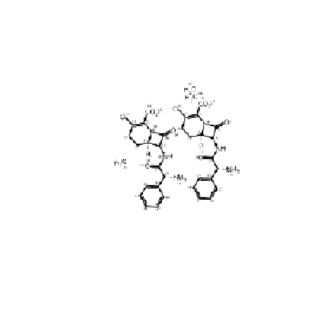 N[C@@H](C(=O)N[C@@H]1C(=O)N2C(C(=O)O)=C(Cl)CC[C@H]12)c1ccccc1.N[C@@H](C(=O)N[C@@H]1C(=O)N2C(C(=O)O)=C(Cl)CC[C@H]12)c1ccccc1.O.O.O